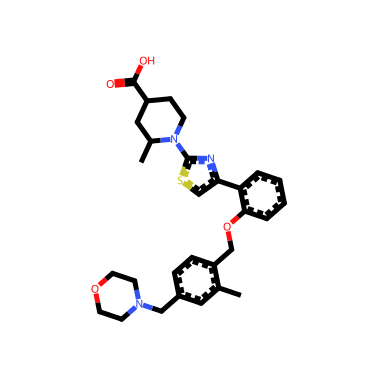 Cc1cc(CN2CCOCC2)ccc1COc1ccccc1-c1csc(N2CCC(C(=O)O)CC2C)n1